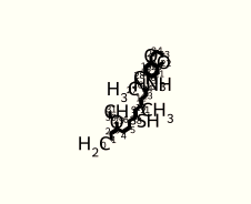 C=C/C=C(\C=C/C/C(S)=C/C(C)=C/C=C(/Nc1ccc2c(c1)OCCO2)N(C)C)OCC